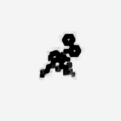 COCCOc1nccc2c1c(C(=O)C(N)=O)c(C)n2Cc1ccccc1-c1ccccc1